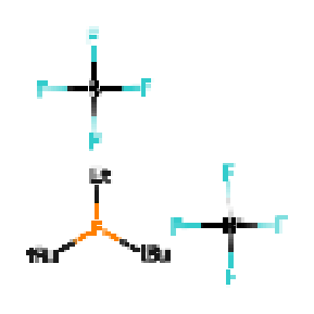 CCP(C(C)(C)C)C(C)(C)C.F[B-](F)(F)F.F[B-](F)(F)F